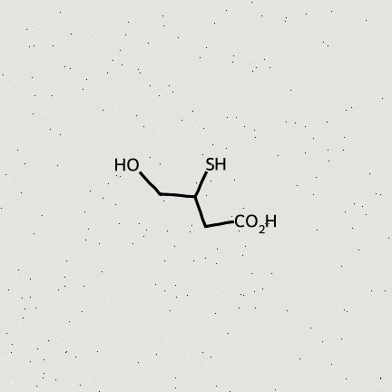 O=C(O)CC(S)CO